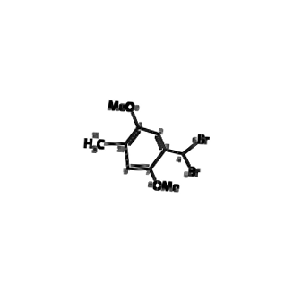 COc1cc(C(Br)Br)c(OC)cc1C